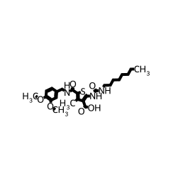 CCCCCCCCNC(=O)Nc1sc(C(=O)NCc2ccc(OC)c(OC)c2)c(C)c1C(=O)O